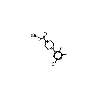 Cc1c(I)cc(Cl)cc1N1CCN(C(=O)OC(C)(C)C)CC1